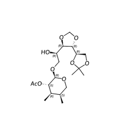 CC(=O)O[C@@H]1[C@@H](OC[C@@H](O)[C@H]2OCO[C@@H]2[C@H]2COC(C)(C)O2)OC[C@@H](C)[C@H]1C